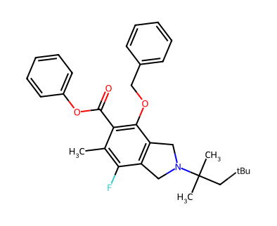 Cc1c(F)c2c(c(OCc3ccccc3)c1C(=O)Oc1ccccc1)CN(C(C)(C)CC(C)(C)C)C2